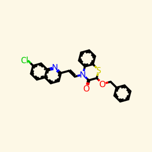 O=C1C(OCc2ccccc2)Sc2ccccc2N1C=Cc1ccc2ccc(Cl)cc2n1